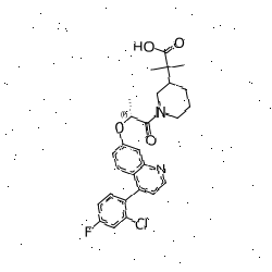 C[C@@H](Oc1ccc2c(-c3ccc(F)cc3Cl)ccnc2c1)C(=O)N1CCCC(C(C)(C)C(=O)O)C1